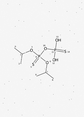 CC(C)OP(=S)(OC(C)C)OP(O)(O)=S